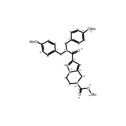 COc1ccc(CN(Cc2ccc(OC)cc2)C(=O)c2cc3n(n2)CCN(C(=O)OC(C)(C)C)C3)cc1